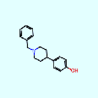 Oc1ccc(C2CCN(Cc3ccccc3)CC2)cc1